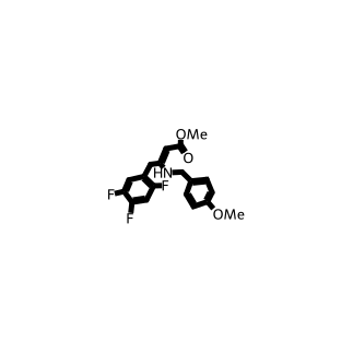 COC(=O)/C=C(/Cc1cc(F)c(F)cc1F)NCc1ccc(OC)cc1